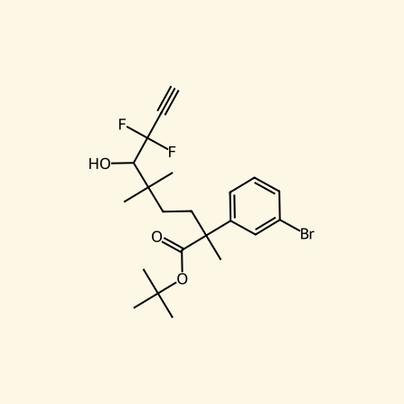 C#CC(F)(F)C(O)C(C)(C)CCC(C)(C(=O)OC(C)(C)C)c1cccc(Br)c1